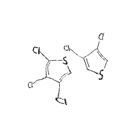 Clc1csc(Cl)c1Cl.Clc1cscc1Cl